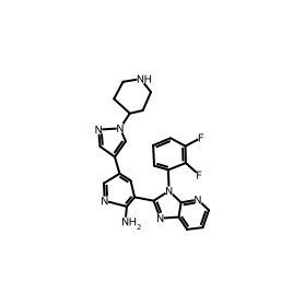 Nc1ncc(-c2cnn(C3CCNCC3)c2)cc1-c1nc2cccnc2n1-c1cccc(F)c1F